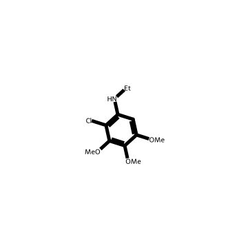 CCNc1cc(OC)c(OC)c(OC)c1Cl